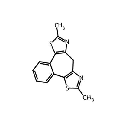 Cc1nc2c(s1)-c1ccccc1-c1sc(C)nc1C2